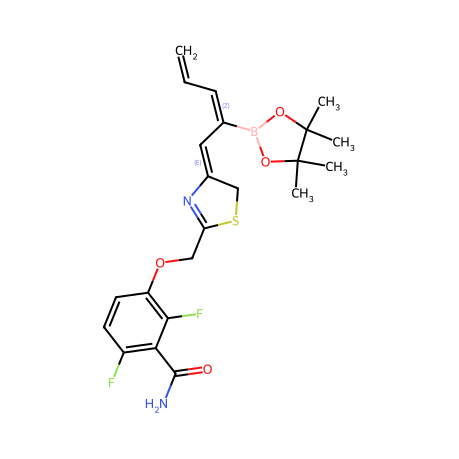 C=C/C=C(\C=C1/CSC(COc2ccc(F)c(C(N)=O)c2F)=N1)B1OC(C)(C)C(C)(C)O1